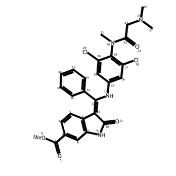 COC(=O)c1ccc2c(c1)NC(=O)/C2=C(\Nc1cc(Cl)c(N(C)C(=O)CN(C)C)c(Cl)c1)c1ccccc1